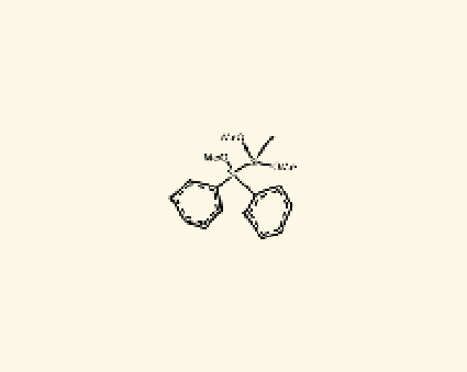 CO[Si](C)(OC)[Si](OC)(c1ccccc1)c1ccccc1